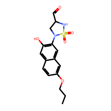 CCCOc1ccc2cc(O)c(N3CC(C=O)NS3(=O)=O)cc2c1